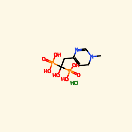 CN1C=NC(CC(O)(P(=O)(O)O)P(=O)(O)O)=CC1.Cl